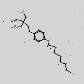 CC(=O)NC(CCc1ccc(OCCCCCCCF)cc1)(COC(C)=O)COC(C)=O